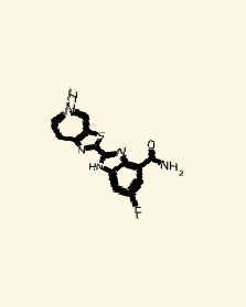 NC(=O)c1cc(F)cc2[nH]c(-c3nc4c(s3)CNCC4)nc12